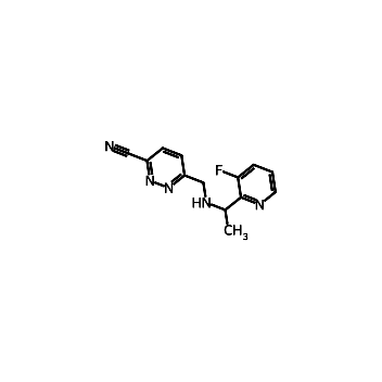 CC(NCc1ccc(C#N)nn1)c1ncccc1F